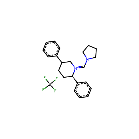 C(N1CCCC1)=[N+]1CC(c2ccccc2)CC[C@@H]1c1ccccc1.F[B-](F)(F)F